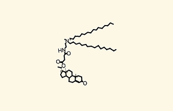 CCCCCCCCCCCCCCCC[N+](C)(CCCCCCCCCCCCCCCC)CCNC(=O)CCC(=O)OC(C)[C@H]1CCC2C3CCC4=CC(=O)CC[C@]4(C)C3CC[C@@]21C